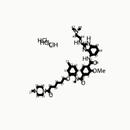 COc1cc(C(=O)N(C)c2ccc(C)cc2OCCCCCC(=O)N2CCN(C)CC2)ccc1C(=O)Nc1cccc2[nH]c(NCCN(C)C)nc12.Cl.Cl.Cl